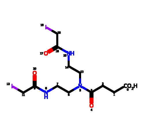 O=C(O)CCC(=O)N(CCNC(=O)CI)CCNC(=O)CI